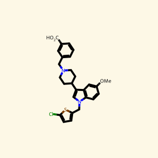 COc1ccc2c(c1)c(C1CCN(Cc3cccc(C(=O)O)c3)CC1)cn2Cc1ccc(Cl)s1